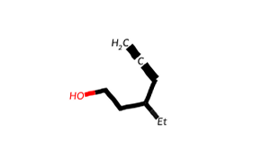 C=C=CC(CC)CCO